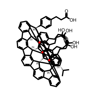 CC(C)[C@]12C3=C4C5=C1[C@@]1(c6ccc(CCC(=O)O)cc6)c6c7ccc8c6[C@]5(c5ccc(CCC(=O)O)cc5)c5c-8ccc6c5[C@]4(c4ccc(CCC(=O)O)cc4)c4c-6ccc5c4[C@]3(c3ccc(CCC(=O)O)cc3)c3c-5ccc4c3[C@]2(c2ccc(CCC(=O)O)cc2)c2c-4ccc-7c21